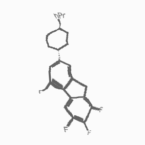 CCC[C@H]1CC[C@H](c2cc(F)c3c(c2)Cc2c-3cc(F)c(F)c2F)CC1